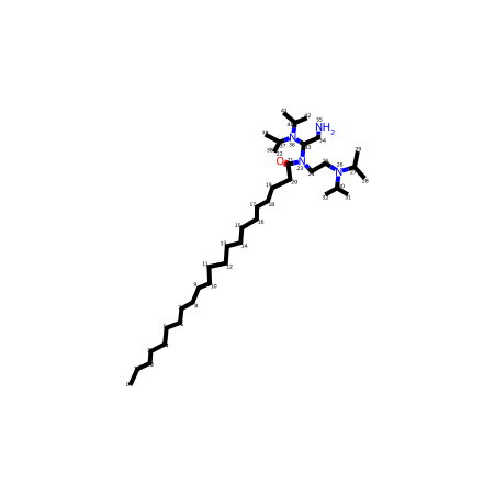 CCCCCCCCCCCCCCCCCCCCCC(=O)N(CCN(C(C)C)C(C)C)C(CN)N(C(C)C)C(C)C